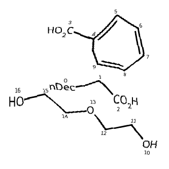 CCCCCCCCCCCC(=O)O.O=C(O)c1ccccc1.OCCOCCO